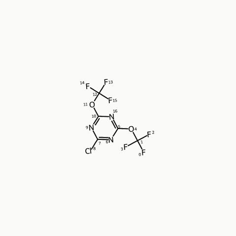 FC(F)(F)Oc1nc(Cl)nc(OC(F)(F)F)n1